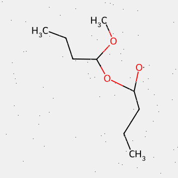 CCCC([O])OC(CCC)OC